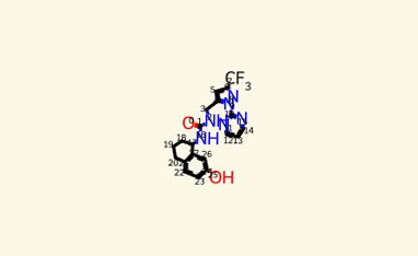 O=C(NCc1cc(C(F)(F)F)nn1-c1ncccn1)NC1CCCc2ccc(O)cc21